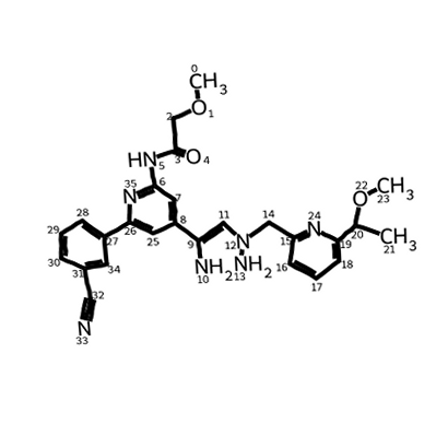 COCC(=O)Nc1cc(/C(N)=C/N(N)Cc2cccc(C(C)OC)n2)cc(-c2cccc(C#N)c2)n1